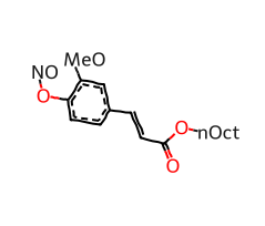 CCCCCCCCOC(=O)C=Cc1ccc(ON=O)c(OC)c1